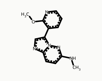 CNc1ccc2ncc(-c3cccnc3OC)n2n1